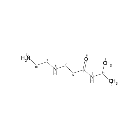 CC(C)NC(=O)CCNCCN